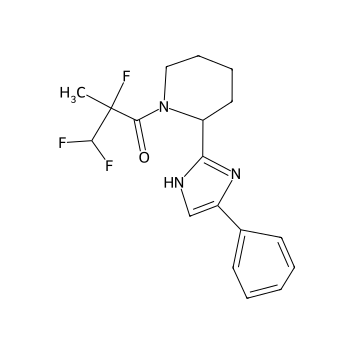 CC(F)(C(=O)N1CCCCC1c1nc(-c2ccccc2)c[nH]1)C(F)F